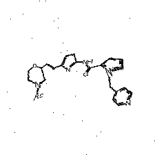 CC(=O)N1CCOC(/C=C/C2=CCC(NC(=O)c3cccn3Cc3ccncc3)=N2)C1